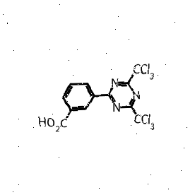 O=C(O)c1cccc(-c2nc(C(Cl)(Cl)Cl)nc(C(Cl)(Cl)Cl)n2)c1